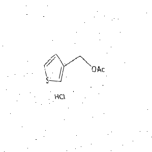 CC(=O)OCc1ccsc1.Cl